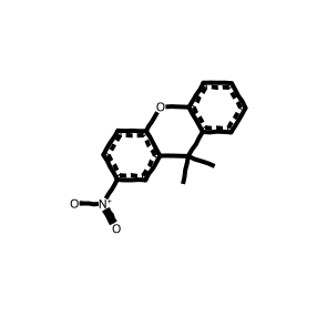 CC1(C)c2ccccc2Oc2ccc([N+](=O)[O-])cc21